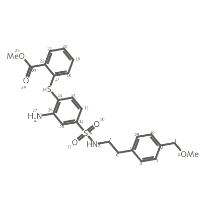 COCc1ccc(CCNS(=O)(=O)c2ccc(Sc3ccccc3C(=O)OC)c(N)c2)cc1